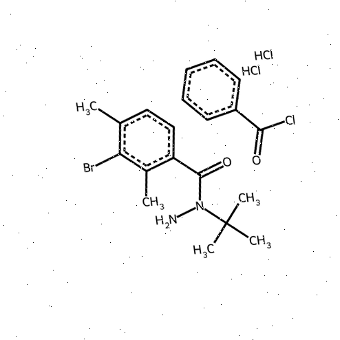 Cc1ccc(C(=O)N(N)C(C)(C)C)c(C)c1Br.Cl.Cl.O=C(Cl)c1ccccc1